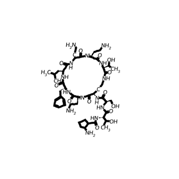 CC(C)C[C@@H]1NC(=O)[C@@H](Cc2ccccc2)NC(=O)[C@H](CCN)NC(=O)[C@@H](NC(=O)[C@@H](CO)NC(=O)[C@@H](NC(=O)C2CCCC2N)C(C)O)CCNC(=O)[C@H](C(C)O)NC(=O)[C@H](CCN)NC(=O)[C@H](CCN)NC1=O